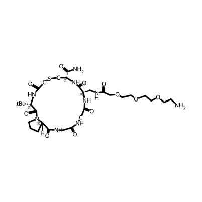 CC(C)(C)[C@@H]1NC(=O)CSC[C@H](C(N)=O)NC(=O)[C@@H](CNC(=O)COCCOCCOCCN)NC(=O)CNC(=O)CNC(=O)[C@@H]2CCCN2C1=O